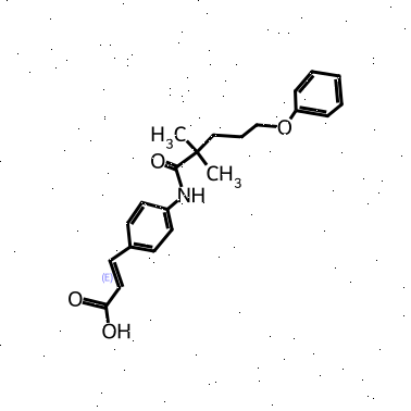 CC(C)(CCCOc1ccccc1)C(=O)Nc1ccc(/C=C/C(=O)O)cc1